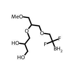 BC(F)(F)COCC(COC)OCC(O)CO